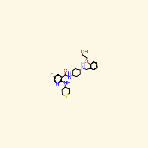 O=C(N[C@H]1CC[C@@H](NCc2ccccc2OCCO)CC1)c1cc(F)cnc1NC1CCSCC1